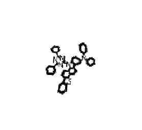 c1ccc(-c2nc(-c3ccccc3)nc(-n3c4ccc(N(c5ccccc5)c5ccccc5)cc4c4ccc5c(ccc6c7ccccc7sc65)c43)n2)cc1